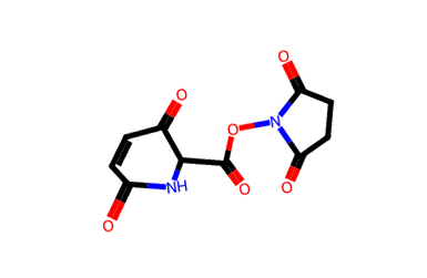 O=C1C=CC(=O)C(C(=O)ON2C(=O)CCC2=O)N1